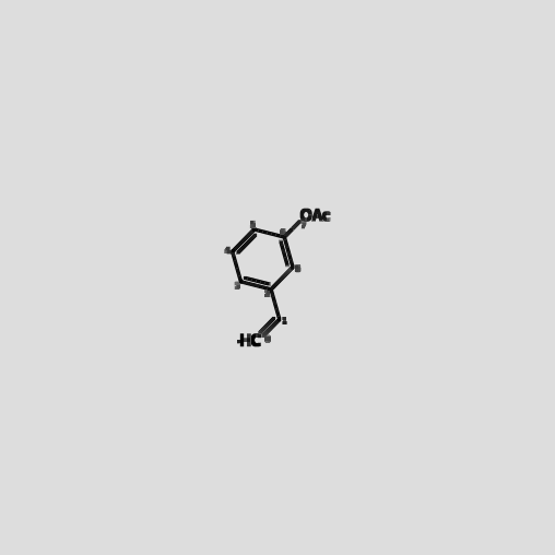 [CH]=Cc1cccc(OC(C)=O)c1